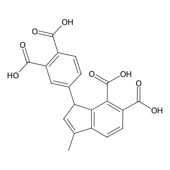 CC1=CC(c2ccc(C(=O)O)c(C(=O)O)c2)c2c1ccc(C(=O)O)c2C(=O)O